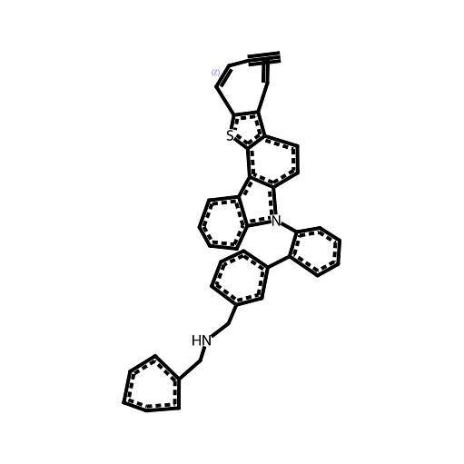 C#C/C=C\c1sc2c(ccc3c2c2ccccc2n3-c2ccccc2-c2cccc(CNCc3ccccc3)c2)c1C=C